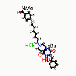 CCCCN1C(=O)[C@@H](CC2(O)CCCCC2)NC(=O)C12CCN(CCCCCCCOc1ccc(C(=O)NC)cc1)CC2.Cl